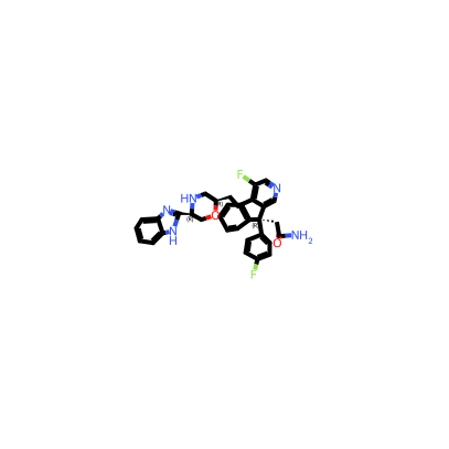 NC(=O)C[C@@](c1ccccc1)(c1ccc(F)cc1)c1cncc(F)c1CC[C@@H]1CN[C@H](c2nc3ccccc3[nH]2)CO1